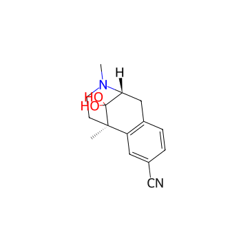 CN1CC[C@]2(C)c3cc(C#N)ccc3C[C@@H]1C2(O)O